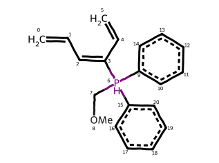 C=C/C=C(\C=C)[PH](COC)(c1ccccc1)c1ccccc1